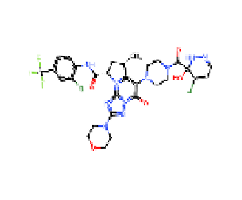 C[C@H]1C[C@@H](C(=O)Nc2ccc(C(F)(F)F)cc2Cl)n2c1c(N1CCN(C(=O)C3(O)NN=CC=C3Cl)CC1)c(=O)n1nc(N3CCOCC3)nc21